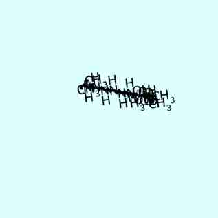 CCC(CC)NCCNCCNCCNCCNCCNC(=O)[C@H](O)[C@@H](O)[C@H](O)[C@H](O)C(=O)C(C)(CC)OC